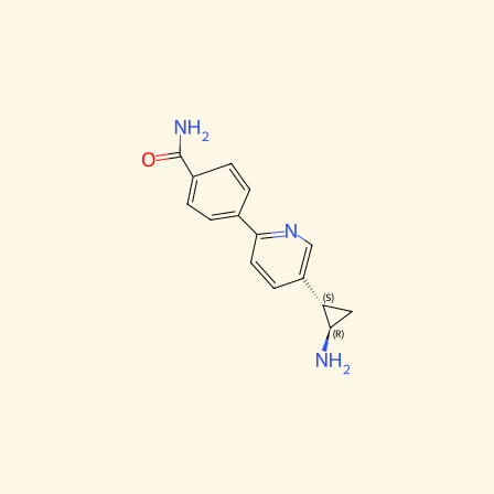 NC(=O)c1ccc(-c2ccc([C@@H]3C[C@H]3N)cn2)cc1